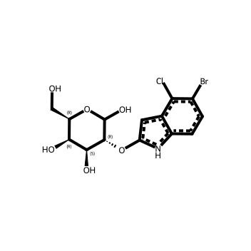 OC[C@H]1OC(O)[C@H](Oc2cc3c(Cl)c(Br)ccc3[nH]2)[C@@H](O)[C@H]1O